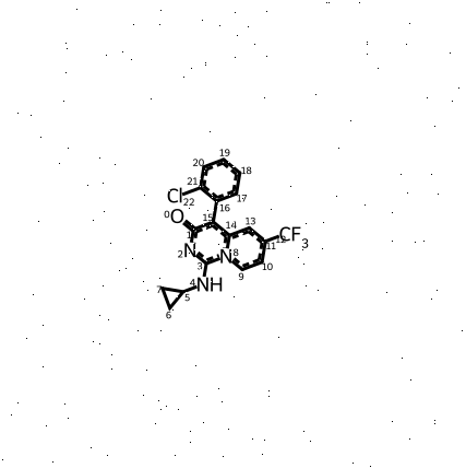 O=c1nc(NC2CC2)n2ccc(C(F)(F)F)cc2c1-c1ccccc1Cl